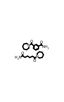 NC(=O)CCCCC(=O)N1CCCCCC1.NC(=O)c1cccc(C(=O)N2CCCCCC2)c1